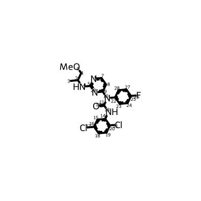 COCC(C)Nc1nccc(N(C(=O)Nc2cc(Cl)ccc2Cl)c2ccc(F)cc2)n1